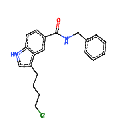 O=C(NCc1ccccc1)c1ccc2[nH]cc(CCCCCl)c2c1